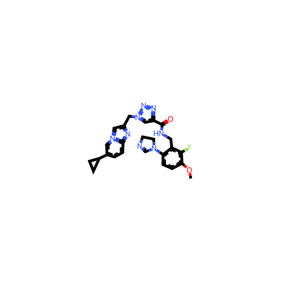 COc1ccc(N2C=NCC2)c(CNC(=O)c2cn(Cc3cn4cc(C5CC5)ccc4n3)nn2)c1F